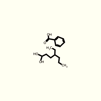 CCCC(CC)CCC(O)O.O=C(O)c1ccccc1